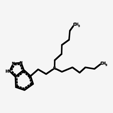 CCCCCCN(CCCCCC)CCc1cccc2[nH]nnc12